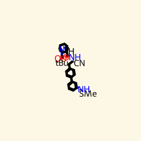 CSNc1cccc(-c2ccc(C[C@@H](C#N)NC(=O)[C@@H]3C4CCC(CC4)N3C(=O)OC(C)(C)C)cc2)c1